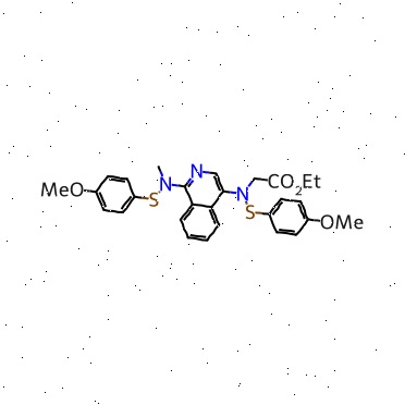 CCOC(=O)CN(Sc1ccc(OC)cc1)c1cnc(N(C)Sc2ccc(OC)cc2)c2ccccc12